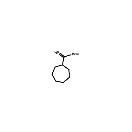 CCC[CH]CC(=N)C1CCCCCC1